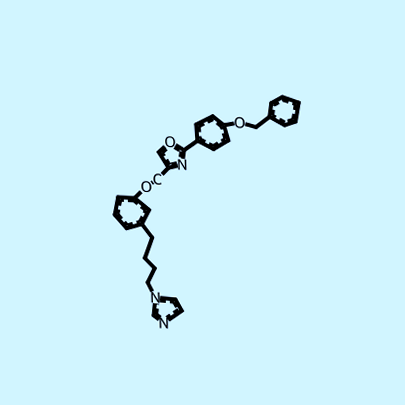 c1ccc(COc2ccc(-c3nc(COc4cccc(CCCCn5ccnc5)c4)co3)cc2)cc1